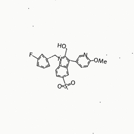 COc1ccc(-c2c(CO)n(Cc3cccc(F)c3)c3ccc(S(C)(=O)=O)cc23)cn1